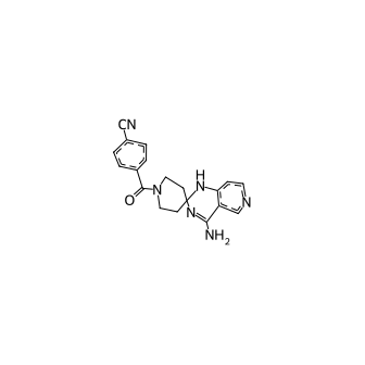 N#Cc1ccc(C(=O)N2CCC3(CC2)N=C(N)c2cnccc2N3)cc1